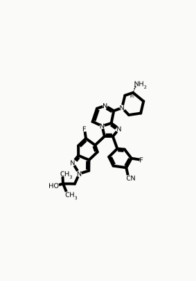 CC(C)(O)Cn1cc2cc(-c3c(-c4ccc(C#N)c(F)c4)nc4c(N5CCC[C@@H](N)C5)nccn34)c(F)cc2n1